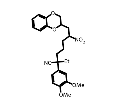 CCC(C#N)(CCCC(CC1COc2ccccc2O1)[N+](=O)[O-])c1ccc(OC)c(OC)c1